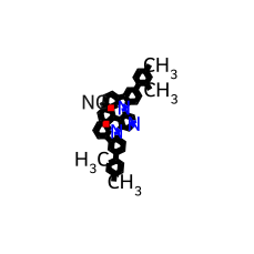 Cc1ccc(-c2ccc3c(c2)c2ccccc2n3-c2cncc(-n3c4ccccc4c4cc(-c5ccc(C)cc5C)ccc43)c2-c2cccc(C#N)c2)c(C)c1